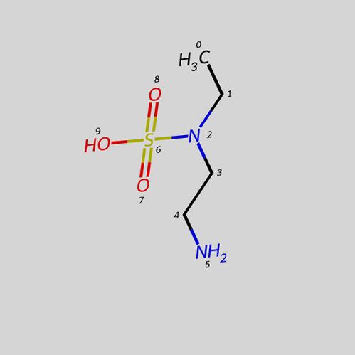 CCN(CCN)S(=O)(=O)O